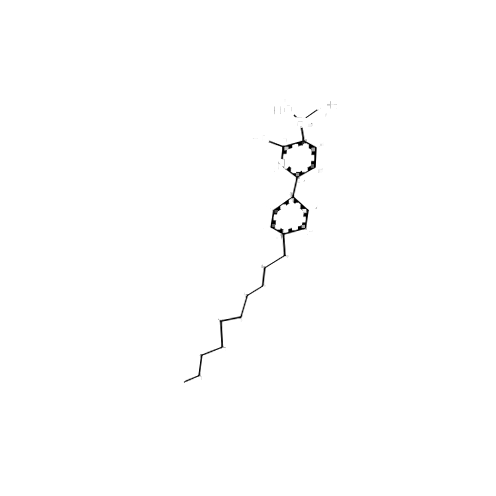 CCCCCCCCCCc1ccc(-c2ccc(B(O)O)c(F)n2)cc1